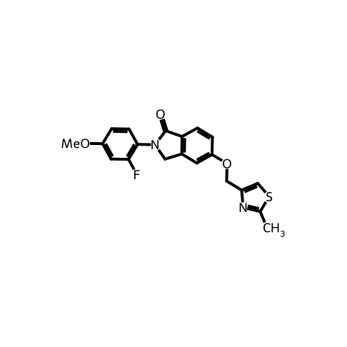 COc1ccc(N2Cc3cc(OCc4csc(C)n4)ccc3C2=O)c(F)c1